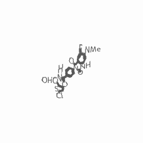 CNc1cc2[nH]c(=O)n(-c3ccc(C(=O)NC(C=O)c4ccc(Cl)s4)cc3)c(=O)c2cc1F